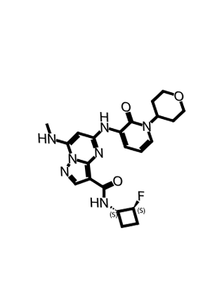 CNc1cc(Nc2cccn(C3CCOCC3)c2=O)nc2c(C(=O)N[C@H]3CC[C@@H]3F)cnn12